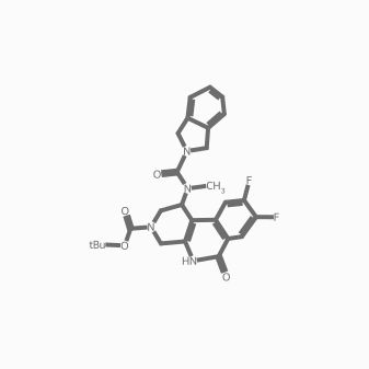 CN(C(=O)N1Cc2ccccc2C1)C1CN(C(=O)OC(C)(C)C)Cc2[nH]c(=O)c3cc(F)c(F)cc3c21